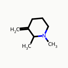 C=C1CCCN(C)C1C